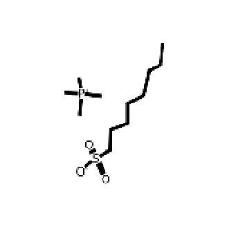 CCCCCCCCS(=O)(=O)[O-].C[P+](C)(C)C